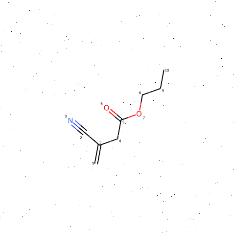 C=C(C#N)CC(=O)OCCC